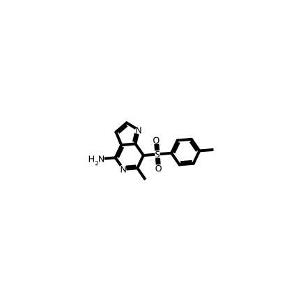 CC1=NC(N)=C2C=CN=C2C1S(=O)(=O)c1ccc(C)cc1